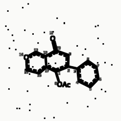 CC(=O)Oc1c(-c2ccccc2)cc(=O)c2coccc1-2